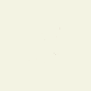 COC(=O)CCC(=O)[O-].[Na+]